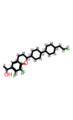 CC(O)c1cc2c(c(F)c1F)OC(C1CCC(C3CCC(CCF)CC3)CC1)CC2